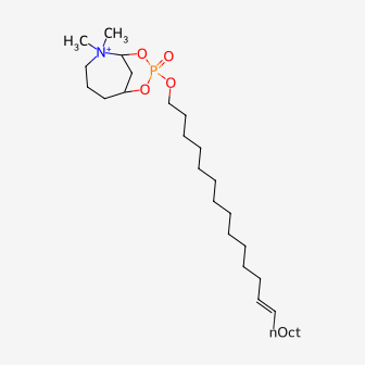 CCCCCCCCC=CCCCCCCCCCCCCOP1(=O)OC2CCC[N+](C)(C)C(C2)O1